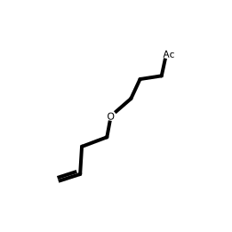 C=CCCOCCCC(C)=O